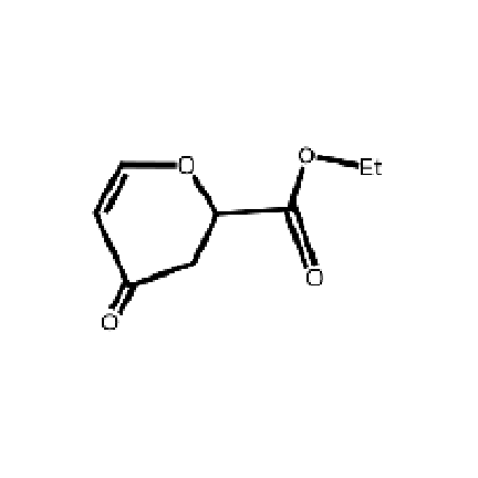 CCOC(=O)C1CC(=O)C=CO1